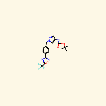 CC(C)(C)OC(=O)Nc1cnn(Cc2ccc(-c3noc(C(F)(F)F)n3)cc2)c1